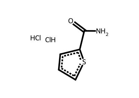 Cl.Cl.NC(=O)c1cccs1